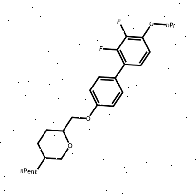 CCCCCC1CCC(COc2ccc(-c3ccc(OCCC)c(F)c3F)cc2)OC1